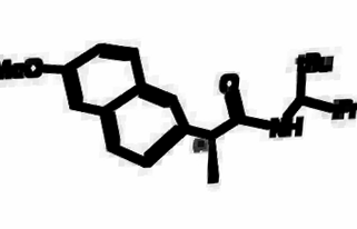 COc1ccc2cc([C@H](C)C(=O)NC(C(C)C)C(C)(C)C)ccc2c1